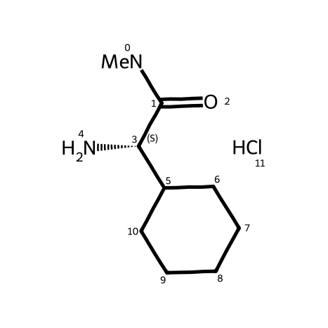 CNC(=O)[C@@H](N)C1CCCCC1.Cl